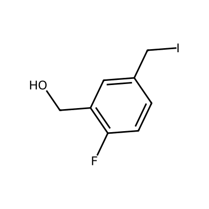 OCc1cc(CI)ccc1F